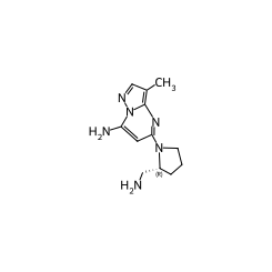 Cc1cnn2c(N)cc(N3CCC[C@@H]3CN)nc12